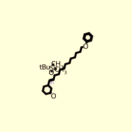 CC(C)(C)[Si](C)(C)OC(/C=C/C1CCCC(=O)C1)CCCCCCCCCCOc1ccccc1